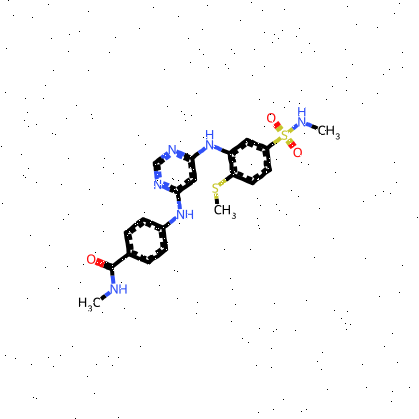 CNC(=O)c1ccc(Nc2cc(Nc3cc(S(=O)(=O)NC)ccc3SC)ncn2)cc1